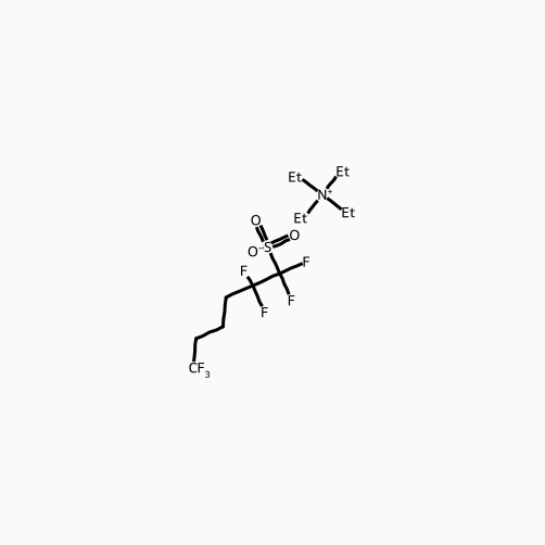 CC[N+](CC)(CC)CC.O=S(=O)([O-])C(F)(F)C(F)(F)CCCC(F)(F)F